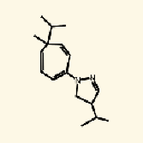 CC(C)C1C=NN(C2=CC=CC(C)(C(C)C)C=C2)C1